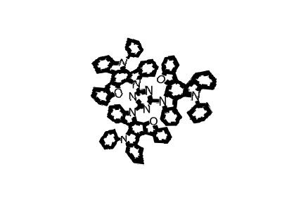 c1ccc(-n2c3ccccc3c3c4c5ccccc5oc4c4c(c5ccccc5n4-c4nc(-n5c6ccccc6c6c5c5oc7ccccc7c5c5c7ccccc7n(-c7ccccc7)c56)nc(-n5c6ccccc6c6c5c5oc7ccccc7c5c5c7ccccc7n(-c7ccccc7)c56)n4)c32)cc1